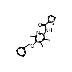 Cc1nc(NC(=O)c2cccs2)c(C)c(C)c1OCc1ccccc1